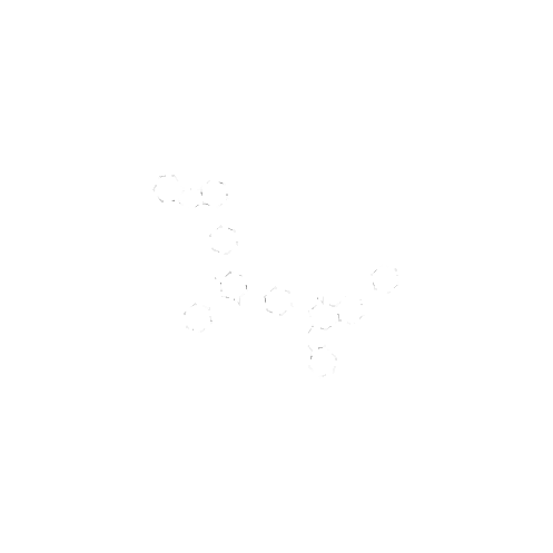 c1ccc(-c2ccc3c(c2)nc(-c2ccc(-c4cc(-c5ccc(-c6cccc7c6oc6ccccc67)cc5)nc(-c5ccccc5)n4)cc2)c2oc4ccccc4c23)cc1